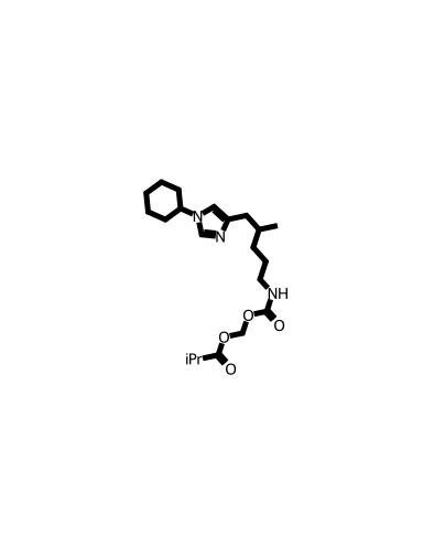 CC(CCCNC(=O)OCOC(=O)C(C)C)Cc1cn(C2CCCCC2)cn1